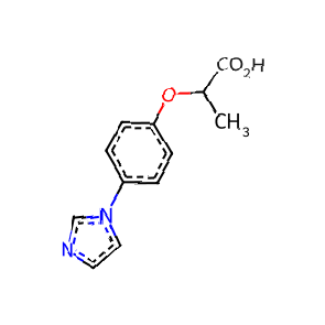 CC(Oc1ccc(-n2ccnc2)cc1)C(=O)O